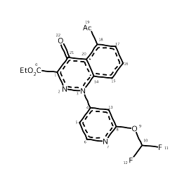 CCOC(=O)c1nn(-c2ccnc(OC(F)F)c2)c2cccc(C(C)=O)c2c1=O